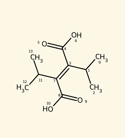 CC(C)/C(C(=O)O)=C(\C(=O)O)C(C)C